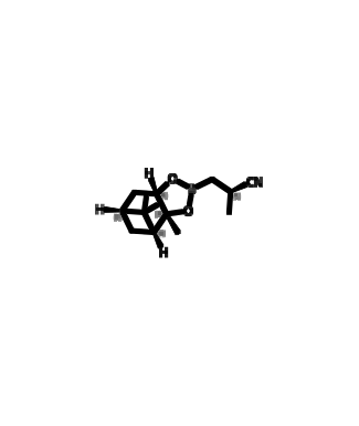 C[C@H](C#N)CB1O[C@H]2C[C@H]3C[C@H](C3(C)C)[C@@]2(C)O1